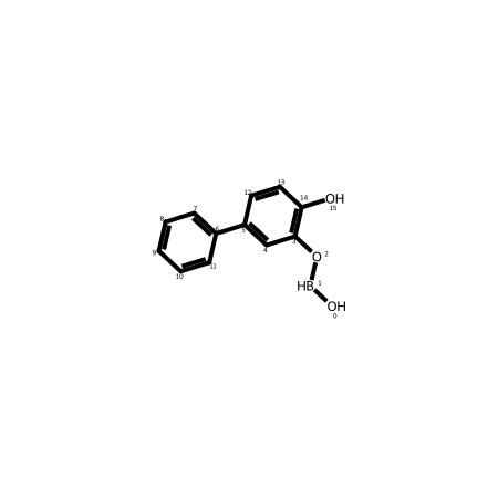 OBOc1cc(-c2ccccc2)ccc1O